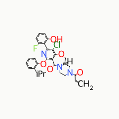 C=CC(=O)N1CCN2C(=O)c3c(Oc4ccccc4C(C)C)nc(-c4c(O)cccc4F)c(Cl)c3OC[C@H]2C1